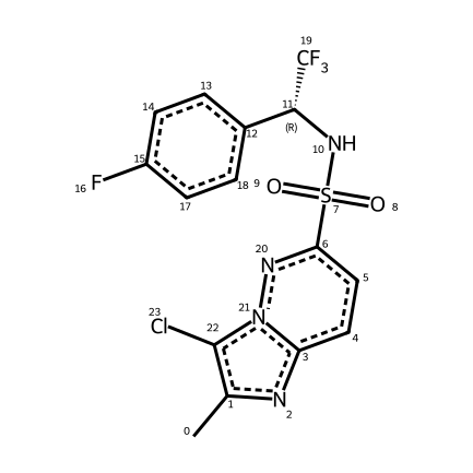 Cc1nc2ccc(S(=O)(=O)N[C@H](c3ccc(F)cc3)C(F)(F)F)nn2c1Cl